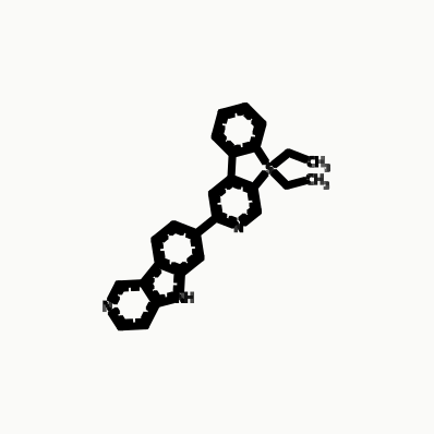 CCS1(CC)c2ccccc2-c2cc(-c3ccc4c(c3)[nH]c3ccncc34)ncc21